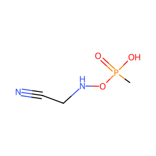 CP(=O)(O)ONCC#N